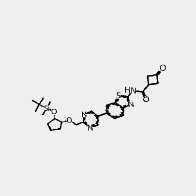 CC(C)(C)[Si](C)(C)O[C@H]1CCC[C@@H]1OCc1ncc(-c2ccc3nc(NC(=O)C4CC(=O)C4)sc3c2)cn1